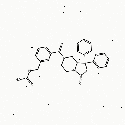 O=C(O)NCc1cccc(C(=O)N2CCN3C(=O)OC(c4ccccc4)(c4ccccc4)C3C2)c1